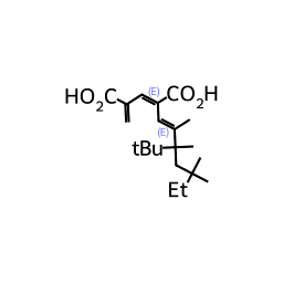 C=C(/C=C(\C=C(/C)C(C)(CC(C)(C)CC)C(C)(C)C)C(=O)O)C(=O)O